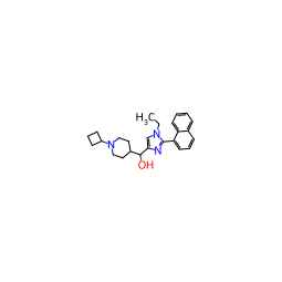 CCn1cc(C(O)C2CCN(C3CCC3)CC2)nc1-c1cccc2ccccc12